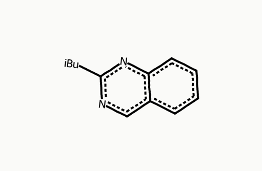 CCC(C)c1ncc2ccccc2n1